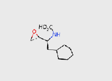 O=C(O)N[C@@H](CC1CCCCC1)[C@@H]1CO1